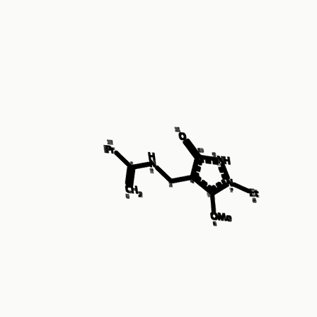 C=C(NCc1c(OC)n(CC)[nH]c1=O)C(C)C